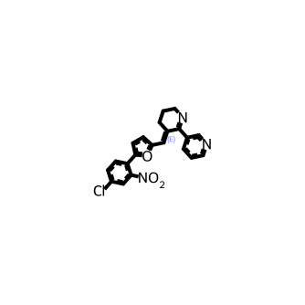 O=[N+]([O-])c1cc(Cl)ccc1-c1ccc(/C=C2\CCCN=C2c2cccnc2)o1